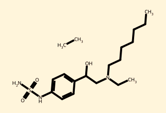 CC.CCCCCCCN(CC)CC(O)c1ccc(NS(N)(=O)=O)cc1